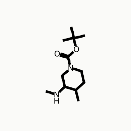 CNC1CN(C(=O)OC(C)(C)C)CCC1C